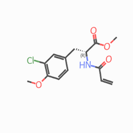 C=CC(=O)N[C@H](Cc1ccc(OC)c(Cl)c1)C(=O)OC